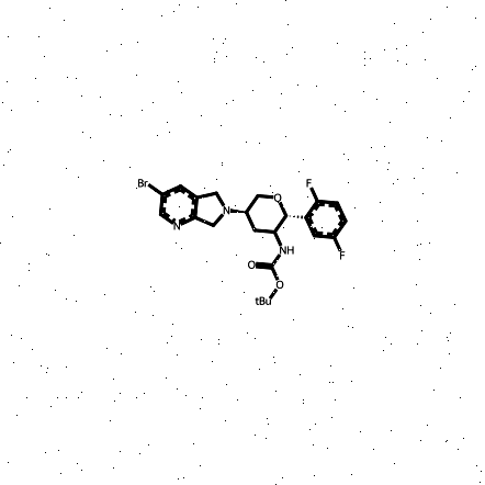 CC(C)(C)OC(=O)NC1C[C@@H](N2Cc3cc(Br)cnc3C2)CO[C@@H]1c1cc(F)ccc1F